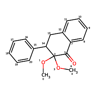 COC1(OC)C(=O)c2ccccc2CC1c1ccccc1